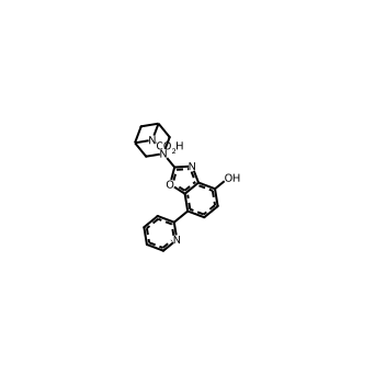 O=C(O)N1C2CC1CN(c1nc3c(O)ccc(-c4ccccn4)c3o1)C2